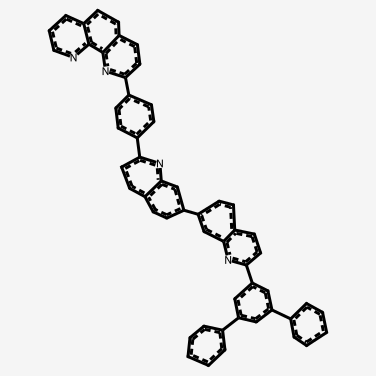 c1ccc(-c2cc(-c3ccccc3)cc(-c3ccc4ccc(-c5ccc6ccc(-c7ccc(-c8ccc9ccc%10cccnc%10c9n8)cc7)nc6c5)cc4n3)c2)cc1